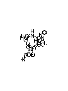 CC[C@H]1OC(=O)[C@H](C)[C@@H](O[C@H]2C[C@@](C)(OC)[C@](O)(CN3CC(N(C)C)C3)[C@H](C)O2)[C@H](C)[C@@H](O[C@@H]2O[C@H](C)C[C@H](N(C)C(=O)N(C)c3ccccc3)[C@H]2O)[C@](C)(O)C[C@@H](C)CN[C@H](C)[C@@H](O)[C@]1(C)O